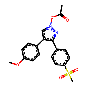 COc1ccc(-c2cn(OC(C)=O)nc2-c2ccc(S(C)(=O)=O)cc2)cc1